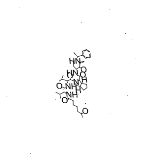 C=C(N[C@@H](C)c1ccccc1)C(=O)C(CCC)NC(=O)C1[C@H]2CCC[C@H]2CN1C(=O)[C@@H](NC(=O)[C@@H](NC(=O)CCCCC(C)=O)C(C)C)C(C)C